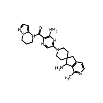 Nc1nc(N2CCC3(CC2)Cc2ccnc(C(F)(F)F)c2C3N)cnc1C(=O)N1CCCn2nccc21